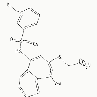 O=C(O)CSc1cc(NS(=O)(=O)c2cccc(Br)c2)c2ccccc2c1O